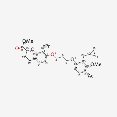 CCCc1c(OCCCOc2ccc(C(C)=O)c(OC)c2CC2CC2)ccc2c1OC(C(=O)OC)CC2